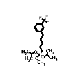 CO[Si](CCCCCc1cccc(C(F)(F)F)c1)(OC(C)C)OC(C)C